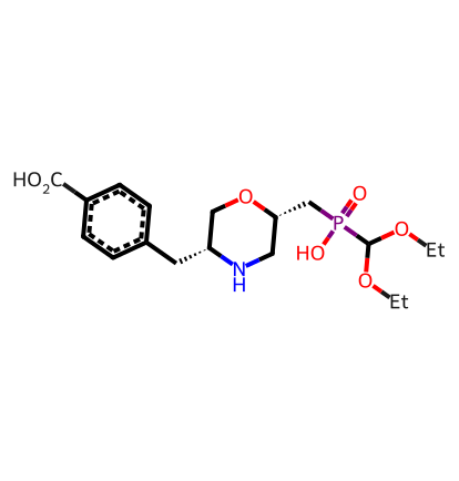 CCOC(OCC)P(=O)(O)C[C@@H]1CN[C@H](Cc2ccc(C(=O)O)cc2)CO1